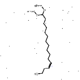 CCCCCOC(CCCCCCCCCC/C=C\CCO)OCCCCC